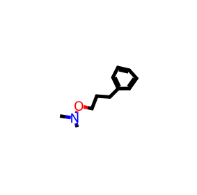 CN(C)OCCCc1ccccc1